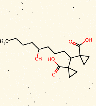 CCCCC(O)CCCC(C1(C(=O)O)CC1)C1(C(=O)O)CC1